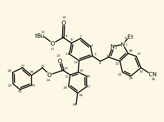 CCn1nc(Cc2ccc(C(=O)OC(C)(C)C)cc2-c2ccc(C)cc2C(=O)OCc2ccccc2)c2ccc(C#N)cc21